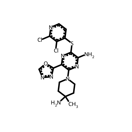 CC1(N)CCN(c2nc(N)c(Sc3ccnc(Cl)c3Cl)nc2-c2nnco2)CC1